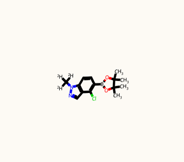 [2H]C([2H])([2H])n1ncc2c(Cl)c(B3OC(C)(C)C(C)(C)O3)ccc21